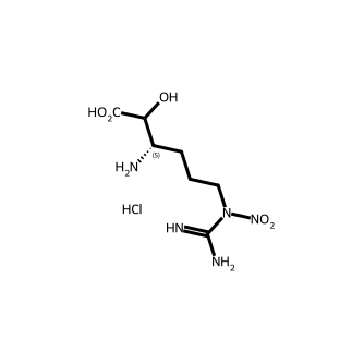 Cl.N=C(N)N(CCC[C@H](N)C(O)C(=O)O)[N+](=O)[O-]